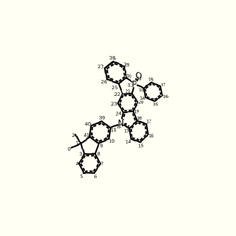 CC1(C)c2ccccc2-c2cc(-n3c4ccccc4c4cc5c(cc43)-c3ccccc3P5(=O)c3ccccc3)ccc21